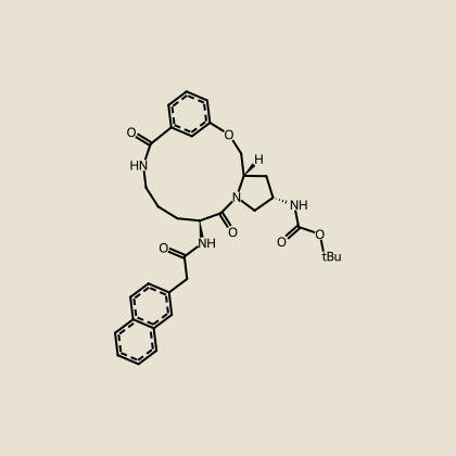 CC(C)(C)OC(=O)N[C@H]1C[C@H]2COc3cccc(c3)C(=O)NCCC[C@H](NC(=O)Cc3ccc4ccccc4c3)C(=O)N2C1